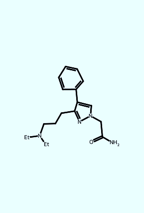 CCN(CC)CCCc1nn(CC(N)=O)cc1-c1ccccc1